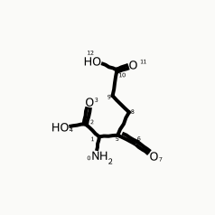 NC(C(=O)O)C(=C=O)CCC(=O)O